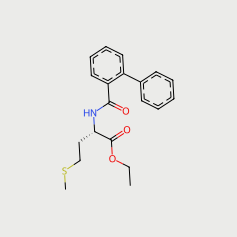 CCOC(=O)[C@H](CCSC)NC(=O)c1ccccc1-c1ccccc1